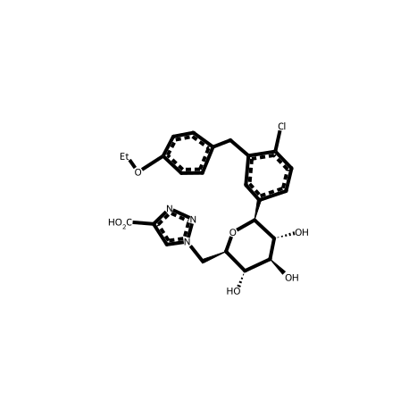 CCOc1ccc(Cc2cc([C@@H]3O[C@H](Cn4cc(C(=O)O)nn4)[C@@H](O)[C@H](O)[C@H]3O)ccc2Cl)cc1